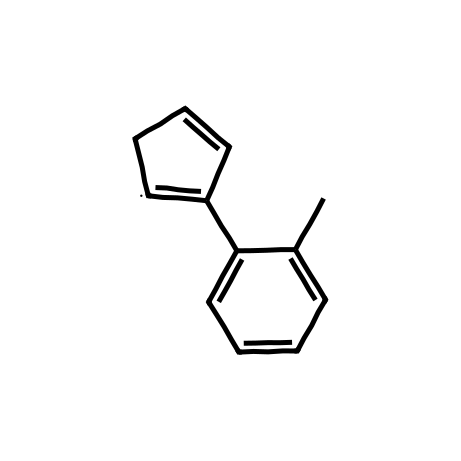 Cc1ccccc1C1=[C]CC=C1